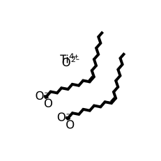 CCCCCCCC/C=C\CCCCCCCC(=O)[O-].CCCCCCCC/C=C\CCCCCCCC(=O)[O-].[O-2].[Ti+4]